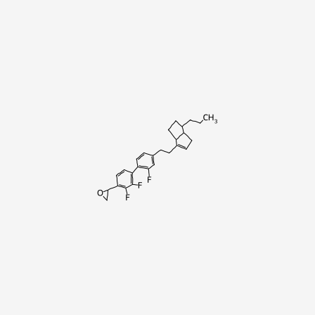 CCCC1CCC2C(CCc3ccc(-c4ccc(C5CO5)c(F)c4F)c(F)c3)=CCC12